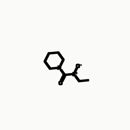 CC[S+]([O-])C(=O)N1CCCCC1